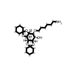 NCCCCCCO[C@H]1[C@H](O)[C@H]2OC3(CCCCC3)O[C@H]2[C@H]2OC3(CCCCC3)O[C@@H]21